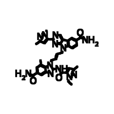 CCn1nc(C)cc1C(=O)Nc1nc2cc(C(N)=O)cc(C)c2n1CC=CCn1c2ccc(C(N)=O)cc2c2cnc(-c3cc(C)nn3C)nc21